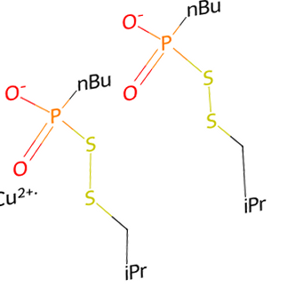 CCCCP(=O)([O-])SSCC(C)C.CCCCP(=O)([O-])SSCC(C)C.[Cu+2]